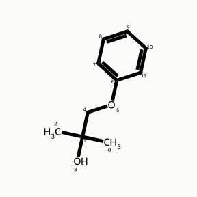 CC(C)(O)COc1cc[c]cc1